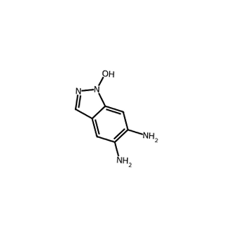 Nc1cc2cnn(O)c2cc1N